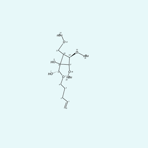 C=CCCCO[C@H](O)C1(O)C(COCCCC)[C@@H](OCCCC)C1OCCCC